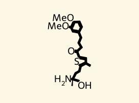 COc1ccc(CCCC(=O)c2cc(C)c(CC[C@@](C)(N)CO)s2)cc1OC